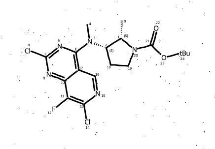 C[C@H]1[C@@H](N(C)c2nc(Cl)nc3c(F)c(Cl)ncc23)CCN1C(=O)OC(C)(C)C